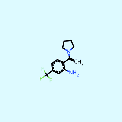 C=C(c1ccc(C(F)(F)F)cc1N)N1CCCC1